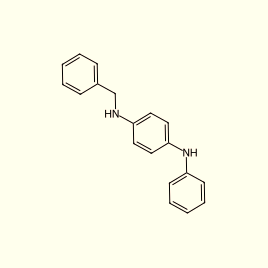 c1ccc(CNc2ccc(Nc3ccccc3)cc2)cc1